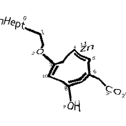 CCCCCCCCOc1ccc(C(=O)O)c(O)c1.[Zn]